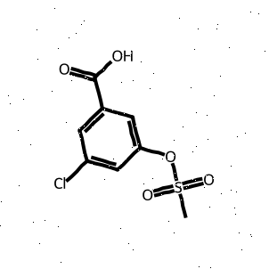 CS(=O)(=O)Oc1cc(Cl)cc(C(=O)O)c1